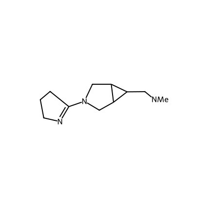 CNCC1C2CN(C3=NCCC3)CC12